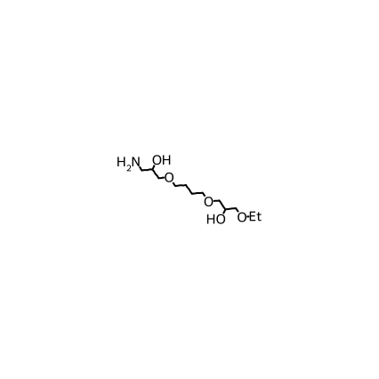 CCOCC(O)COCCCCOCC(O)CN